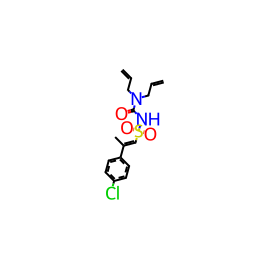 C=CCN(CC=C)C(=O)NS(=O)(=O)/C=C(\C)c1ccc(Cl)cc1